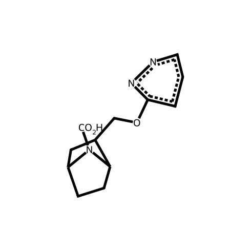 O=C(O)N1C2CCC1C(COc1cccnn1)C2